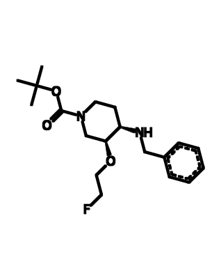 CC(C)(C)OC(=O)N1CC[C@@H](NCc2ccccc2)[C@@H](OCCF)C1